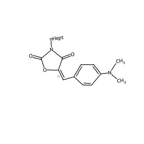 CCCCCCCN1C(=O)O/C(=C/c2ccc(N(C)C)cc2)C1=O